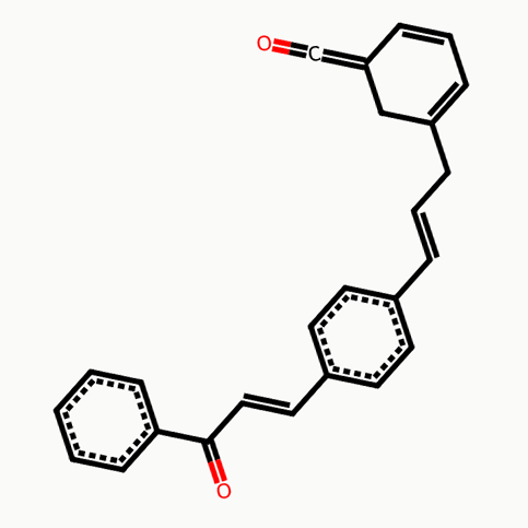 O=C=C1C=CC=C(CC=Cc2ccc(C=CC(=O)c3ccccc3)cc2)C1